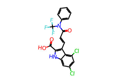 O=C(O)c1[nH]c2cc(Cl)cc(Cl)c2c1C=CC(=O)N(c1ccccc1)C(F)(F)F